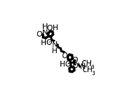 CN(C)CCOC(=O)[C@](O)(c1ccccc1)c1cccc(OCCCCCNC[C@H](O)c2ccc(O)c3[nH]c(=O)ccc23)c1